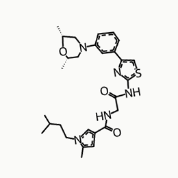 Cc1cc(C(=O)NCC(=O)Nc2nc(-c3cccc(N4C[C@@H](C)O[C@@H](C)C4)c3)cs2)cn1CCC(C)C